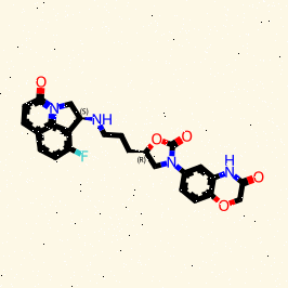 O=C1COc2ccc(N3C[C@@H](CCCN[C@@H]4Cn5c(=O)ccc6ccc(F)c4c65)OC3=O)cc2N1